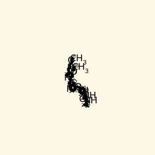 COCCN(Cc1ccc(-c2cc3nccc(Oc4ccc(NC(=O)NC5CC5)nc4)c3s2)nc1)C(C)=O